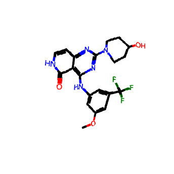 COc1cc(Nc2nc(N3CCC(O)CC3)nc3cc[nH]c(=O)c23)cc(C(F)(F)F)c1